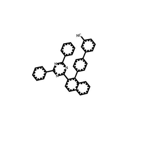 N#Cc1cccc(-c2ccc(-c3c(-c4nc(-c5ccccc5)nc(-c5ccccc5)n4)ccc4ccccc34)cc2)c1